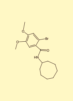 COc1cc(Br)c(C(=O)NC2CCCCCCC2)cc1OC